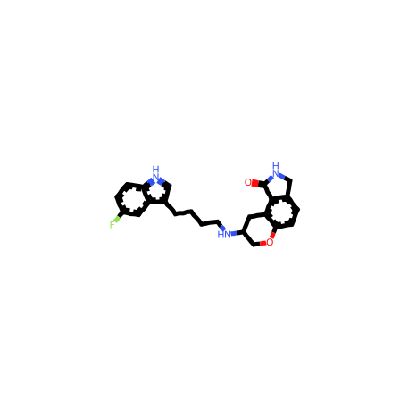 O=C1NCc2ccc3c(c21)CC(NCCCCc1c[nH]c2ccc(F)cc12)CO3